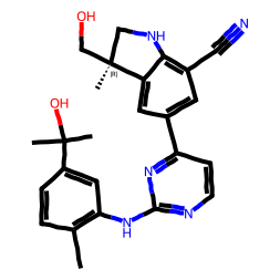 Cc1ccc(C(C)(C)O)cc1Nc1nccc(-c2cc(C#N)c3c(c2)[C@@](C)(CO)CN3)n1